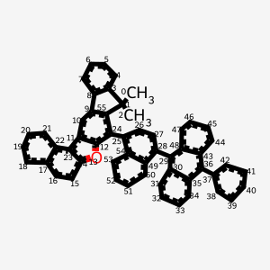 CC1(C)c2ccccc2-c2cc3c(oc4ccc5ccccc5c43)c(-c3ccc(-c4c5ccccc5c(-c5ccccc5)c5ccccc45)c4ccccc34)c21